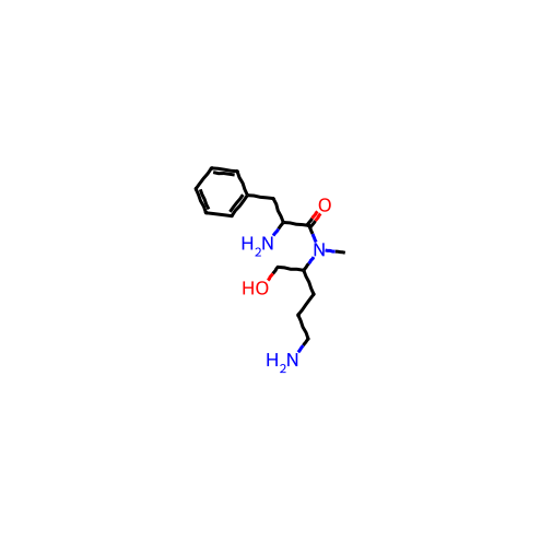 CN(C(=O)C(N)Cc1ccccc1)C(CO)CCCN